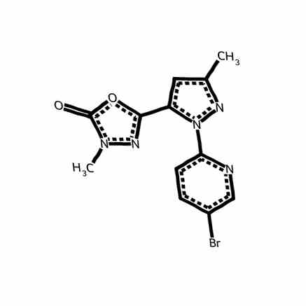 Cc1cc(-c2nn(C)c(=O)o2)n(-c2ccc(Br)cn2)n1